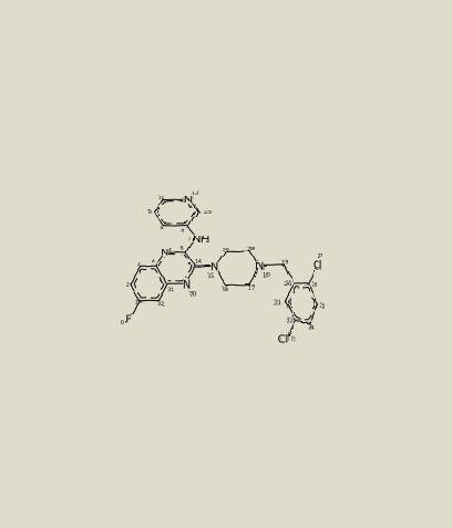 Fc1ccc2nc(Nc3cccnc3)c(N3CCN(Cc4cc(Cl)ccc4Cl)CC3)nc2c1